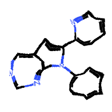 c1ccc(-n2c(-c3ccccn3)cc3cncnc32)cc1